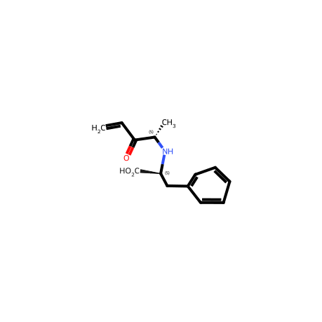 C=CC(=O)[C@H](C)N[C@@H](Cc1ccccc1)C(=O)O